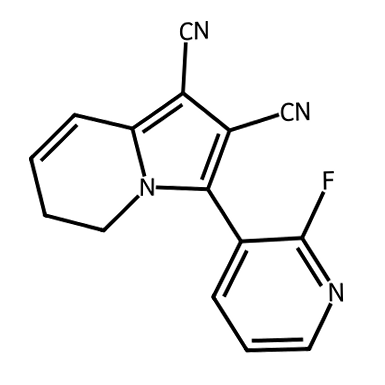 N#Cc1c(C#N)c(-c2cccnc2F)n2c1C=CCC2